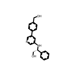 OCc1ccc(-c2cncc(N[C@@H](CO)c3ccccc3)c2)cc1